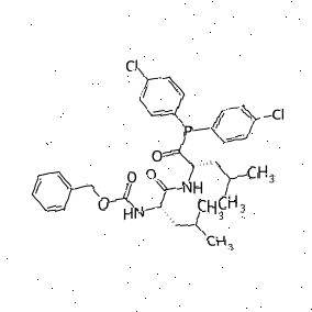 CC(C)C[C@H](NC(=O)OCc1ccccc1)C(=O)N[C@@H](CC(C)C)C(=O)P(c1ccc(Cl)cc1)c1ccc(Cl)cc1